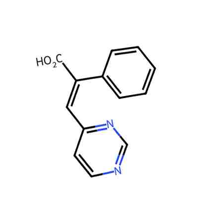 O=C(O)C(=Cc1ccncn1)c1ccccc1